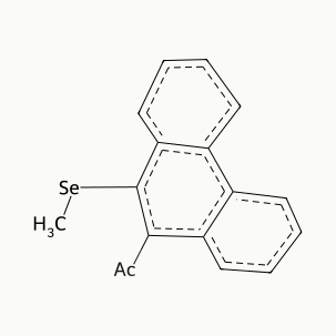 C[Se]c1c(C(C)=O)c2ccccc2c2ccccc12